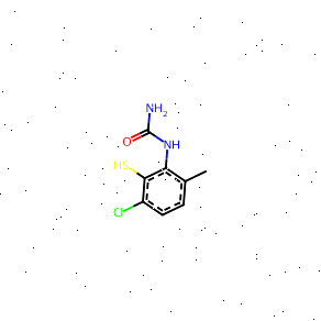 Cc1ccc(Cl)c(S)c1NC(N)=O